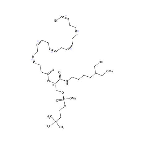 CC/C=C\C/C=C\C/C=C\C/C=C\C/C=C\C/C=C\CCC(=O)N[C@@H](COP(=O)(OC)OCC[N+](C)(C)C)C(=O)NCCCCC(CO)COC